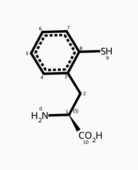 N[C@@H](Cc1ccccc1S)C(=O)O